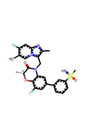 Cc1nc2cc(F)c(C#N)cn2c1CN1C(=O)[C@@H](C)Oc2c(F)cc(-c3cccc(S(C)(=N)=O)c3)cc21